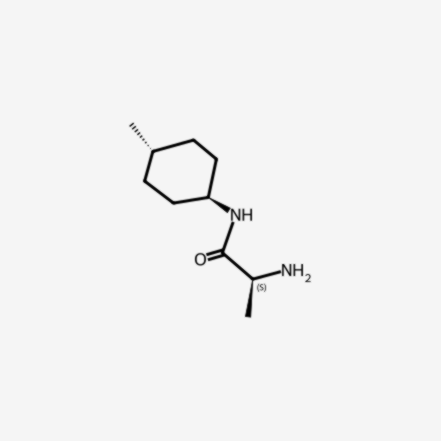 C[C@H](N)C(=O)N[C@H]1CC[C@H](C)CC1